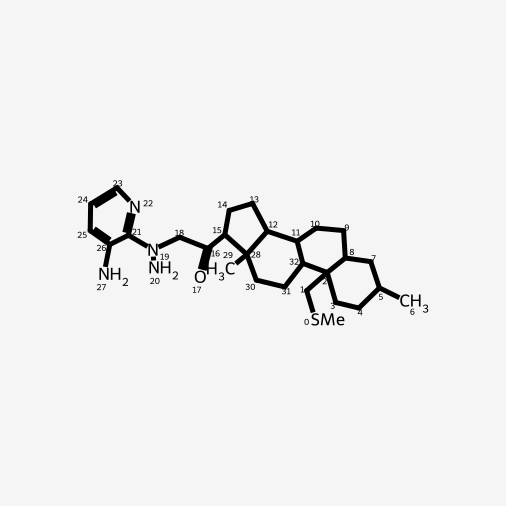 CSCC12CCC(C)CC1CCC1C3CCC(C(=O)CN(N)c4ncccc4N)C3(C)CCC12